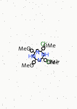 COc1ccc(-c2c3nc(c(-c4ccc(OC)cc4)c4ccc([nH]4)c(-c4ccc(OC)cc4)c4nc(c(-c5ccc(OC)cc5)c5ccc2[nH]5)C=C4)C=C3)cc1.[Cl-].[Cl-].[Fe+2]